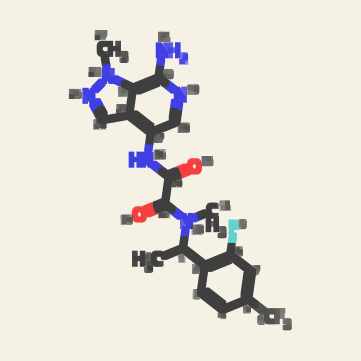 CC(c1ccc(C(F)(F)F)cc1F)N(C)C(=O)C(=O)Nc1cnc(N)c2c1cnn2C